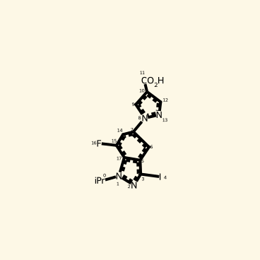 CC(C)n1nc(I)c2cc(-n3cc(C(=O)O)cn3)cc(F)c21